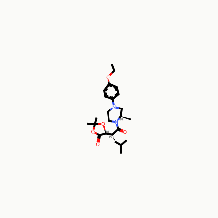 CCOc1ccc(N2CCN(C(=O)[C@H](CC(C)C)[C@@H]3OC(C)(C)OC3=O)[C@H](C)C2)cc1